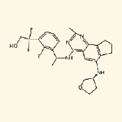 Cc1nc(NC(C)c2cccc(C(F)(F)CO)c2F)c2cc(N[C@H]3CCOC3)c3c(c2n1)CCC3